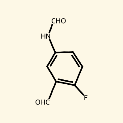 O=CNc1ccc(F)c(C=O)c1